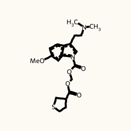 COc1ccc2c(CCN(C)C)cn(C(=O)OCOC(=O)C3CCSC3)c2c1